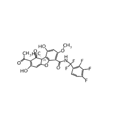 COc1cc(O)c2c(c1C(=O)NC(F)(F)c1ccc(F)c(F)c1F)OC1=CC(O)=C(C(C)=O)C(=O)[C@]12C